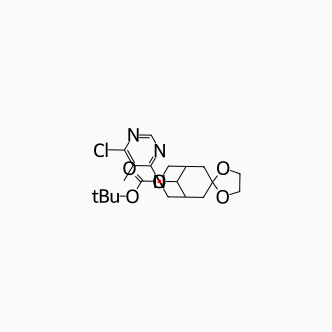 Cc1c(Cl)ncnc1OC1C2CN(C(=O)OC(C)(C)C)CC1CC1(C2)OCCO1